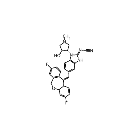 CN1C[C@H](O)[C@@H](n2/c(=N/C#N)[nH]c3cc(/C=C4\c5ccc(F)cc5COC5C=C(F)C=CC45)ccc32)C1